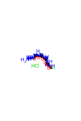 C=C(Cl)C(=O)Nc1cc(C(=O)Nc2cc(C(=O)Nc3cc(C(=O)Nc4cc(C(=O)NCCNC(=N)N)n(C)c4)n(C)c3)n(C)c2)n(C)c1.Cl